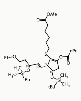 CCCC(=O)OC1=C(SCCCCCC(=O)OC)[C@@H](/C=C/[C@H](CCOCC)O[Si](C)(C)C(C)(C)C)[C@H](O[Si](C)(C)C(C)(C)C)C1